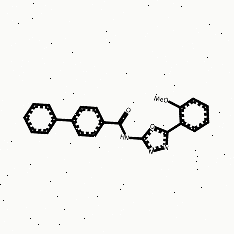 COc1ccccc1-c1nnc(NC(=O)c2ccc(-c3ccccc3)cc2)o1